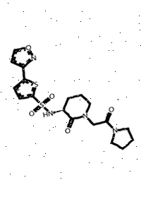 O=C(CN1CCC[C@H](NS(=O)(=O)c2ccc(-c3ccon3)s2)C1=O)N1CCCC1